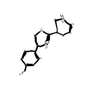 Fc1ccc(-c2coc(C3CCCNC3)n2)cc1